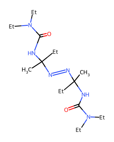 CCN(CC)C(=O)NC(C)(CC)N=NC(C)(CC)NC(=O)N(CC)CC